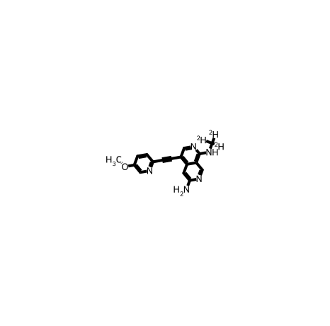 [2H]C([2H])([2H])Nc1ncc(C#Cc2ccc(OC)cn2)c2cc(N)ncc12